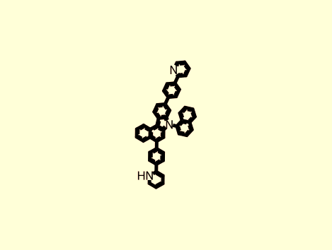 C1=CCNC(c2ccc(-c3cc4c(c5ccccc35)c3ccc(-c5ccc(-c6ccccn6)cc5)cc3n4-c3cccc4ccccc34)cc2)=C1